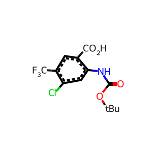 CC(C)(C)OC(=O)Nc1cc(Cl)c(C(F)(F)F)cc1C(=O)O